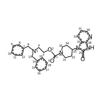 O=C(OCCN(Cc1ccccc1)Cc1ccccc1)N1CCC(n2c(=O)[nH]c3ncccc32)CC1